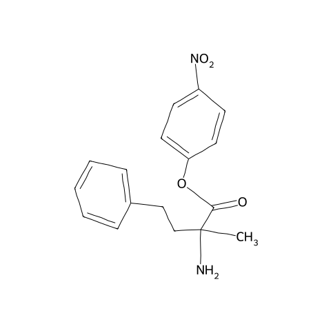 CC(N)(CCc1ccccc1)C(=O)Oc1ccc([N+](=O)[O-])cc1